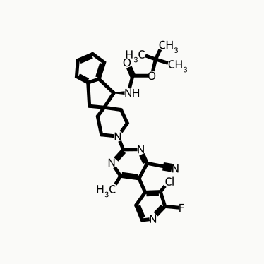 Cc1nc(N2CCC3(CC2)Cc2ccccc2[C@H]3NC(=O)OC(C)(C)C)nc(C#N)c1-c1ccnc(F)c1Cl